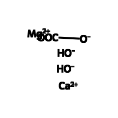 O=C([O-])[O-].[Ca+2].[Mg+2].[OH-].[OH-]